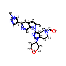 Cc1cc2cc(-c3cnn(C)c3)ncc2n1-c1nn(C2CCOCC2)c2c1CN(C=O)CC2